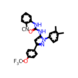 Cc1ccc(-n2nc(-c3ccc(OC(F)(F)F)cc3)cc2NC(=O)Nc2ccccc2C#N)cc1C